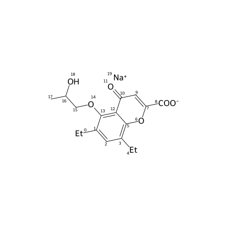 CCc1cc(CC)c2oc(C(=O)[O-])cc(=O)c2c1OCC(C)O.[Na+]